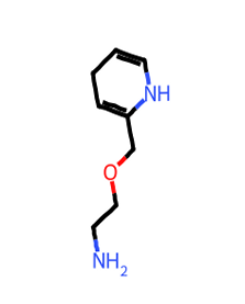 NCCOCC1=CCC=CN1